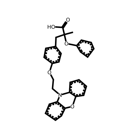 CC(Cc1ccc(OCCN2c3ccccc3Oc3ccccc32)cc1)(Oc1ccccc1)C(=O)O